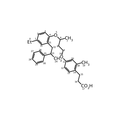 CCc1ccc(OC(C)CCOc2ccc(CCC(=O)O)c(C)c2)c(CC(C)c2ccccc2)c1